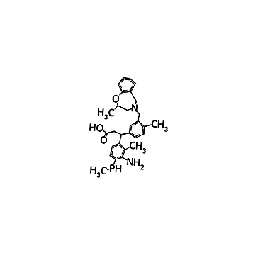 CPc1ccc(C(CC(=O)O)c2ccc(C)c(CN3Cc4ccccc4OC(C)C3)c2)c(C)c1N